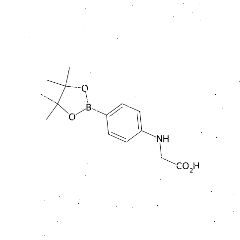 CC1(C)OB(c2ccc(NCC(=O)O)cc2)OC1(C)C